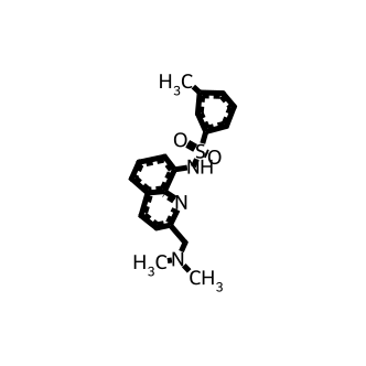 Cc1cccc(S(=O)(=O)Nc2cccc3ccc(CN(C)C)nc23)c1